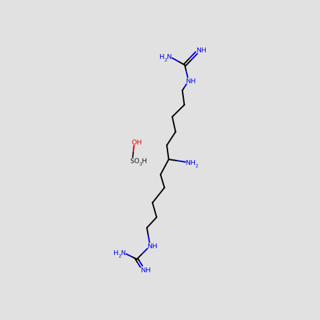 N=C(N)NCCCCCC(N)CCCCCNC(=N)N.O=S(=O)(O)O